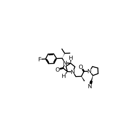 CC(C)[C@@H](c1ccc(F)cc1)N1C(=O)[C@@H]2C[C@H]1CN2C[C@H](C)C(=O)N1CCC[C@H]1C#N